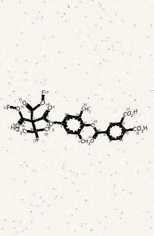 Cc1cc(OC(=O)C(C(=O)OF)(C(=O)OF)C(F)(C(=O)O)C(F)(F)F)cc(C)c1OC(=O)c1ccc(C(=O)O)c(C(=O)O)c1